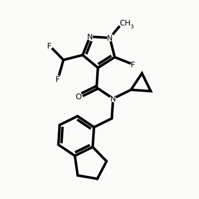 Cn1nc(C(F)F)c(C(=O)N(Cc2cccc3c2CCC3)C2CC2)c1F